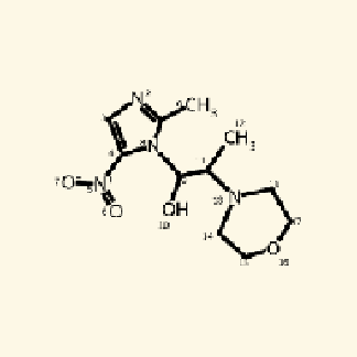 Cc1ncc([N+](=O)[O-])n1C(O)C(C)N1CCOCC1